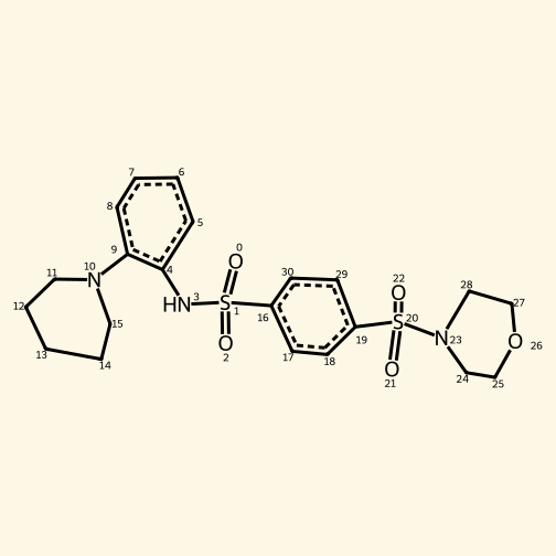 O=S(=O)(Nc1ccccc1N1CCCCC1)c1ccc(S(=O)(=O)N2CCOCC2)cc1